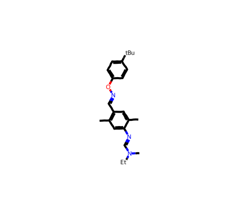 CCN(C)C=Nc1cc(C)c(C=NOc2ccc(C(C)(C)C)cc2)cc1C